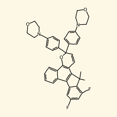 CC1(C)c2c(F)cc(F)cc2-c2c1c1c(c3ccccc23)OC(c2ccc(N3CCOCC3)cc2)(c2ccc(N3CCOCC3)cc2)C=C1